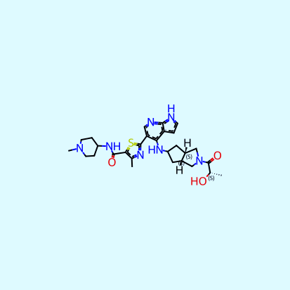 Cc1nc(-c2cnc3[nH]ccc3c2NC2C[C@@H]3CN(C(=O)[C@H](C)O)C[C@@H]3C2)sc1C(=O)NC1CCN(C)CC1